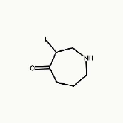 O=C1CCCNCC1I